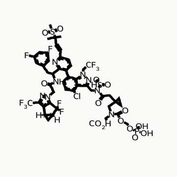 CC(C)(C#Cc1ccc(-c2ccc(Cl)c3c(CN(C(=O)CC4(CN(CC(=O)O)C(=O)OCOP(=O)(O)O)CC4)[SH](=O)=O)nn(CC(F)(F)F)c23)c(C(Cc2cc(F)cc(F)c2)NC(=O)Cn2nc(C(F)(F)F)c3c2C(F)(F)[C@@H]2C[C@H]32)n1)S(C)(=O)=O